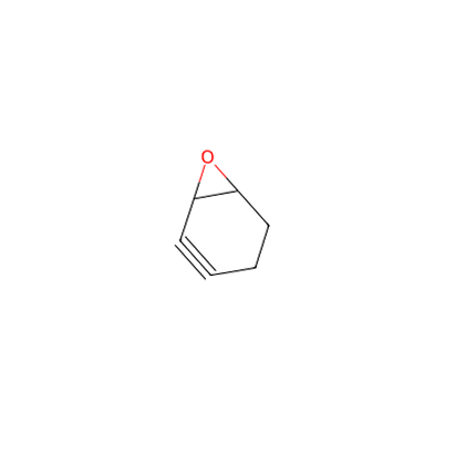 C1#CC2OC2CC1